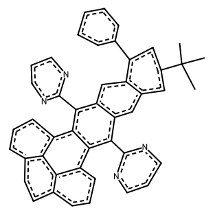 CC(C)(C)c1cc(-c2ccccc2)c2cc3c(-c4ncccn4)c4c5cccc6ccc7cccc(c4c(-c4ncccn4)c3cc2c1)c7c65